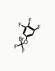 Fc1cc(OC(F)(F)Br)cc(F)c1F